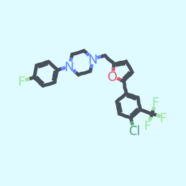 Fc1ccc(N2CCN(Cc3ccc(-c4ccc(Cl)c(C(F)(F)F)c4)o3)CC2)cc1